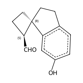 O=C[C@H]1CC[C@@]12CCc1ccc(O)cc12